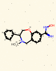 N=C(NO)c1ccc2c(c1)OCC(c1ccccc1)N(C(=O)O)C2